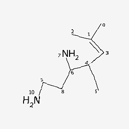 CC(C)=CC(C)C(N)CCN